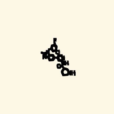 Cc1nc2ccc(-c3cc(NC(=O)[C@@H]4CCCNC4)ncc3Cl)cc2n1Cc1cccc(F)c1